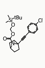 CC(C)(C)[Si](C)(C)OCOC(=O)N1C2CCC1(C#Cc1ccc(Cl)cc1)CC2